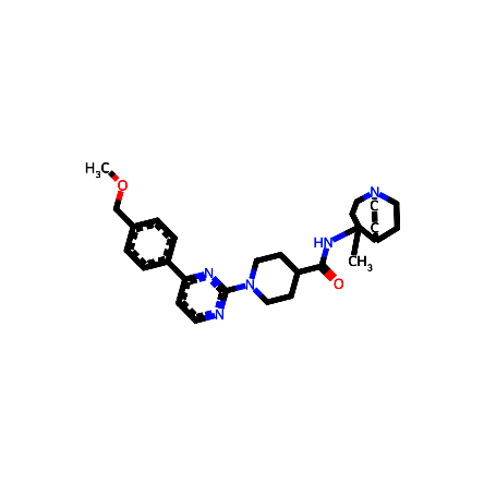 COCc1ccc(-c2ccnc(N3CCC(C(=O)NC4(C)CCN5CCC4CC5)CC3)n2)cc1